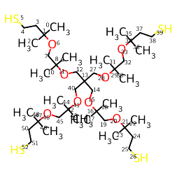 CC(C)(CCS)OCC(C)(C)OCC(COC(C)(C)COC(C)(C)CCS)(COC(C)(C)COC(C)(C)CCS)COC(C)(C)COC(C)(C)CCS